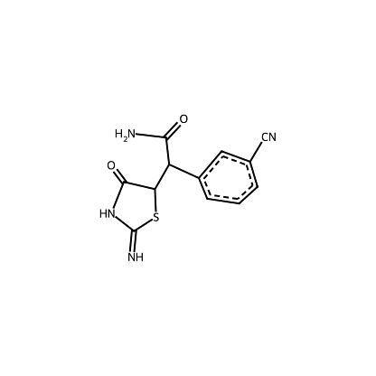 N#Cc1cccc(C(C(N)=O)C2SC(=N)NC2=O)c1